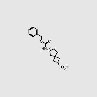 O=C(N[C@@H]1CCC2(C1)CN(C(=O)O)C2)OCc1ccccc1